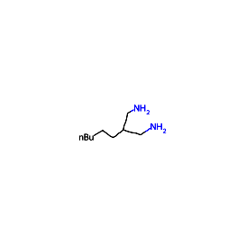 CCCCCCC(CN)CN